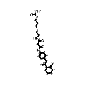 CCCC(=O)OCCCOCCNC(=O)CC(=O)Nc1ccc(CC(=O)C2CCCCC2=O)cc1